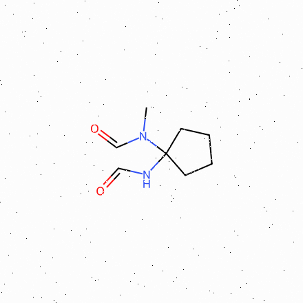 CN(C=O)C1(NC=O)CCCC1